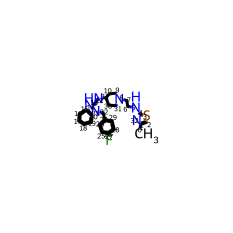 Cc1csc(NCCN2CCC(Nc3nc4ccccc4n3Cc3ccc(F)cc3)CC2)n1